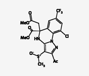 COC(=O)CC1(C(=O)OC)Nc2c([S+](C)[O-])c(C(C)=O)nn2-c2c(Cl)cc(C(F)(F)F)cc21